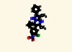 CC1=C(c2ccc([N+](=O)[O-])c(Br)c2)C(=C2CCC2)N2NC(c3ccccc3)C(C)=C2N1